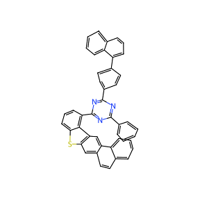 c1ccc(-c2nc(-c3ccc(-c4cccc5ccccc45)cc3)nc(-c3cccc4sc5cc6ccc7ccccc7c6cc5c34)n2)cc1